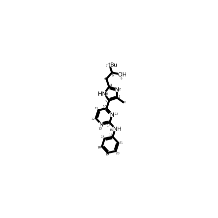 Cc1nc(CC(O)C(C)(C)C)[nH]c1-c1ccnc(Nc2ccccc2)n1